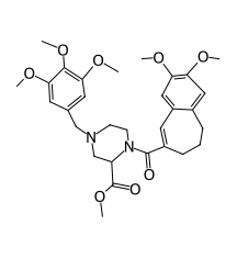 COC(=O)C1CN(Cc2cc(OC)c(OC)c(OC)c2)CCN1C(=O)C1=Cc2cc(OC)c(OC)cc2CCC1